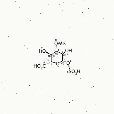 CO[C@@H]1[C@@H](O)[C@H](OS(=O)(=O)O)O[C@H](C(=O)O)[C@H]1O